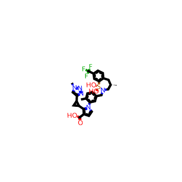 Cc1ccc(CN2C[C@@H](C)Cc3ccc(C(F)(F)F)cc3S2(O)O)cc1-n1ccc(C(=O)O)c1C1CC1c1cn(C)nn1